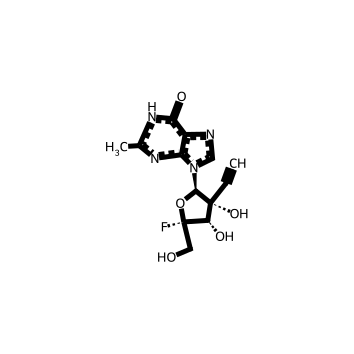 C#C[C@]1(O)[C@H](n2cnc3c(=O)[nH]c(C)nc32)O[C@](F)(CO)[C@H]1O